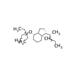 CCC[C@@H](C)[C@H]1CCC2[C@@H](O[Si](CC)(CC)CC)CCC[C@@]21C